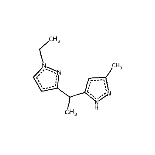 CCn1ccc([C](C)c2cc(C)n[nH]2)n1